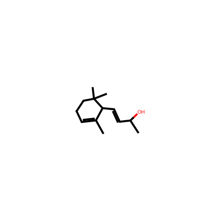 CC1=CCCC(C)(C)C1C=CC(C)O